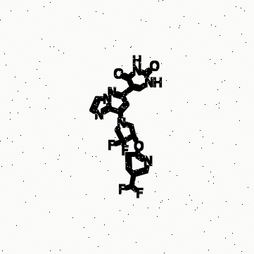 O=c1[nH]cc(-c2cc(N3CC(Oc4ccc(C(F)F)cn4)C(F)(F)C3)c3nccn3n2)c(=O)[nH]1